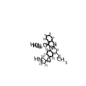 CCCCc1nc2ccccc2c(=O)n1-c1ccc(OC2CCNC2)cc1.Cl.Cl